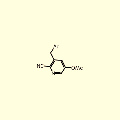 COc1cnc(C#N)c(CC(C)=O)c1